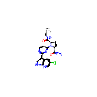 NC(=O)[C@@H]1CC[C@H](C(=O)NCC(F)(F)F)N1c1ccnc(C2CNc3ncc(Cl)cc32)n1